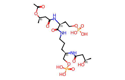 CC(=O)O[C@H](C)CC(=O)N[C@@H](CCOP(=O)(O)O)C(=O)NCCC[C@H](COP(=O)(O)O)NC(=O)C[C@@H](C)O